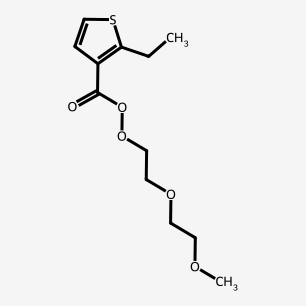 CCc1sccc1C(=O)OOCCOCCOC